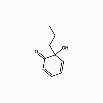 CCCC1(O)C=CC=CC1=O